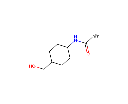 CCCC(=O)NC1CCC(CO)CC1